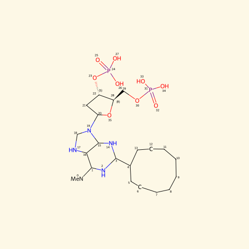 CNC1NC(C2CCCCCCCCC2)NC2C1NCN2C1C[C@H](OP(=O)(O)O)[C@@H](COP(=O)(O)O)O1